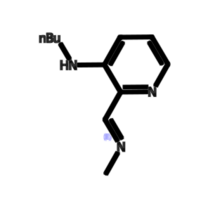 CCCCNc1cccnc1/C=N/C